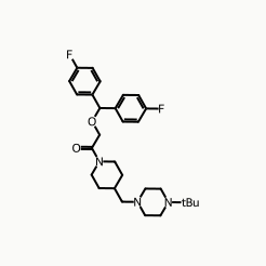 CC(C)(C)N1CCN(CC2CCN(C(=O)COC(c3ccc(F)cc3)c3ccc(F)cc3)CC2)CC1